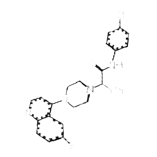 CCCC(C(=O)Nc1ccc(Cl)cc1)N1CCN(c2ccnc3ccc(F)cc23)CC1